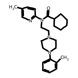 Cc1ccc(N(CCN2CCN(c3ccccc3C)CC2)C(=O)C2CCCCC2)nc1